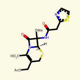 COC1(NC(=O)Cc2nccs2)C(=O)N2C(C(=O)O)=C(COC(C)=O)CS[C@@H]21